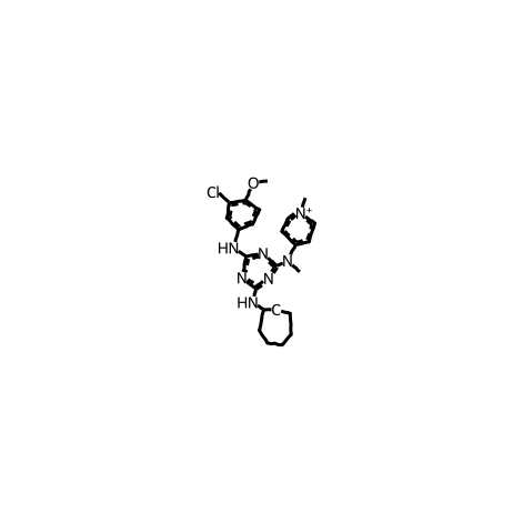 COc1ccc(Nc2nc(NC3CCCCCC3)nc(N(C)c3cc[n+](C)cc3)n2)cc1Cl